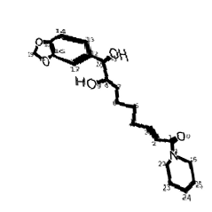 O=C(C=CCCCCC(O)C(O)c1ccc2c(c1)OCO2)N1CCCCC1